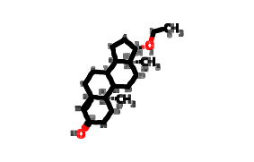 CCO[C@H]1CCC2C3CCC4=CC(=O)CC[C@]4(C)C3CC[C@@]21C